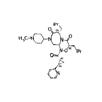 CC(C)C[C@H]1ON(C(=O)[C@@H]2C[C@H]2c2ccccn2)C2CN(C3CCN(C)CC3)C(=O)[C@H](CC(C)C)N2C1=O